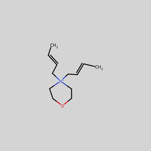 CC=CC[N+]1(CC=CC)CCOCC1